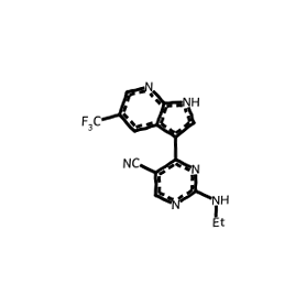 CCNc1ncc(C#N)c(-c2c[nH]c3ncc(C(F)(F)F)cc23)n1